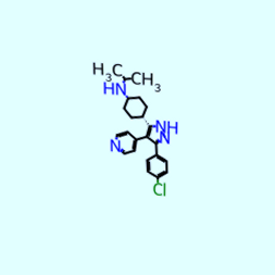 CC(C)N[C@H]1CC[C@H](c2[nH]nc(-c3ccc(Cl)cc3)c2-c2ccncc2)CC1